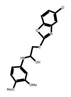 COc1ccc(NC(O)CSc2nc3cc(Cl)ccc3o2)cc1OC